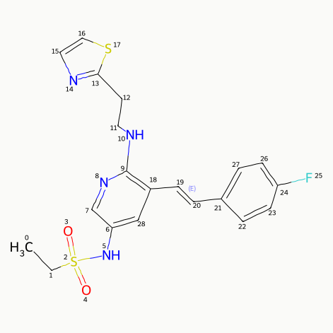 CCS(=O)(=O)Nc1cnc(NCCc2nccs2)c(/C=C/c2ccc(F)cc2)c1